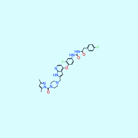 Cc1cc(C)n(C(=O)N2CCN(Cc3cc4c(Oc5ccc(NC(=O)NC(=O)Cc6ccc(F)cc6)cc5F)ccnc4[nH]3)CC2)n1